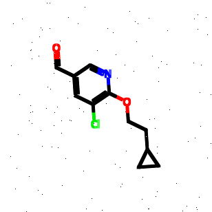 O=Cc1cnc(OCCC2CC2)c(Cl)c1